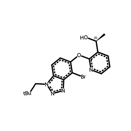 C[C@H](O)c1cccnc1Oc1ccc2c(nnn2CC(C)(C)C)c1Br